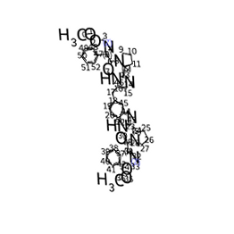 COO/C=N\[C@@H](C(=O)N1CCC[C@H]1c1ncc(Cc2ccc3[nH]c([C@@H]4CCCN4C(=O)[C@H](/N=C\OOC)c4ccccc4)nc3c2)[nH]1)c1ccccc1